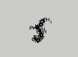 CNC(=O)c1cc(Oc2ccc(NC(=O)Nc3cc(C(C)C)nn3-c3ccc4c(c3)CCN(C)C4)cc2)ccn1